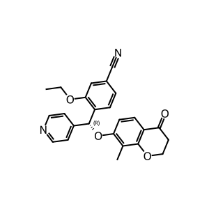 CCOc1cc(C#N)ccc1[C@H](Oc1ccc2c(c1C)OCCC2=O)c1ccncc1